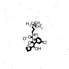 C[N+](C)(C)CCCNC(=O)N1C(=O)C(C(O)c2cccs2)c2cc(Cl)ccc21.[Cl-]